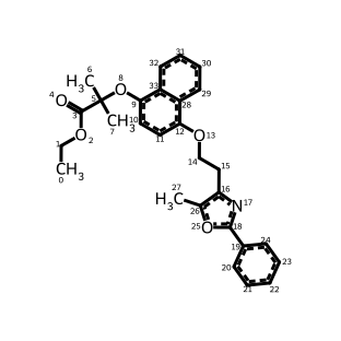 CCOC(=O)C(C)(C)Oc1ccc(OCCc2nc(-c3ccccc3)oc2C)c2ccccc12